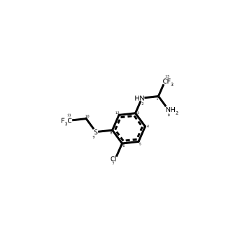 NC(Nc1ccc(Cl)c(SCC(F)(F)F)c1)C(F)(F)F